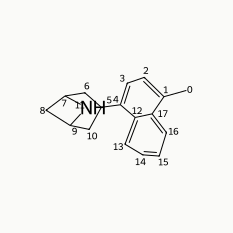 Cc1ccc(C2CC3CC(C2)N3)c2ccccc12